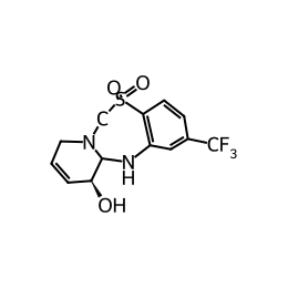 O=S1(=O)CN2CC=C[C@H](O)C2Nc2cc(C(F)(F)F)ccc21